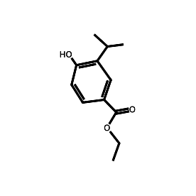 CCOC(=O)c1ccc(O)c(C(C)C)c1